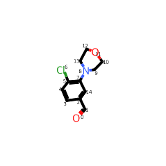 O=Cc1ccc(Cl)c(N2CCOCC2)c1